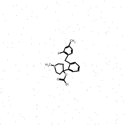 CCC(=O)OC1(c2ccccc2Cc2ccc(C)cc2F)CCN(C)CC1